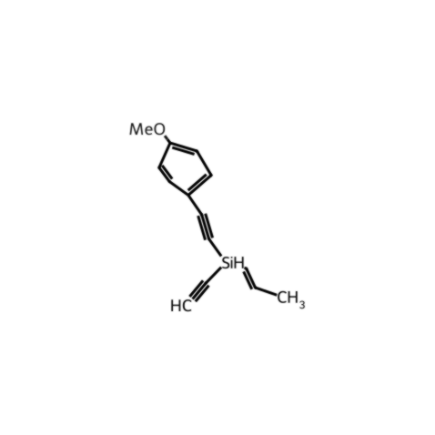 C#C[SiH](C#Cc1ccc(OC)cc1)C=CC